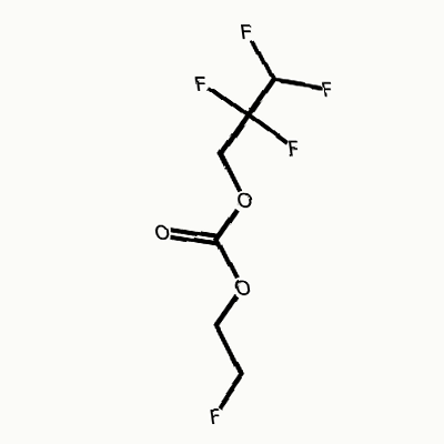 O=C(OCCF)OCC(F)(F)C(F)F